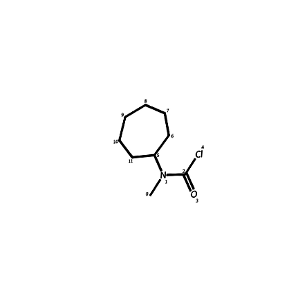 CN(C(=O)Cl)C1CCCCCC1